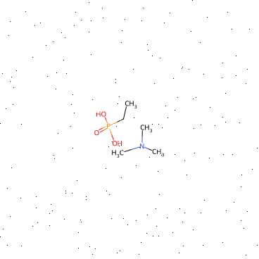 CCP(=O)(O)O.CN(C)C